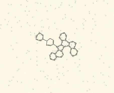 C1=CC(c2ccccc2)CC=C1n1c2c3ccccc3ccc2c2c3c4ccccc4ccc3c3ccccc3c21